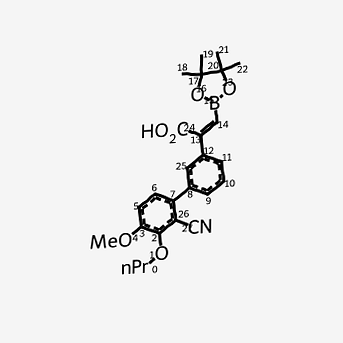 CCCOc1c(OC)ccc(-c2cccc(/C(=C/B3OC(C)(C)C(C)(C)O3)C(=O)O)c2)c1C#N